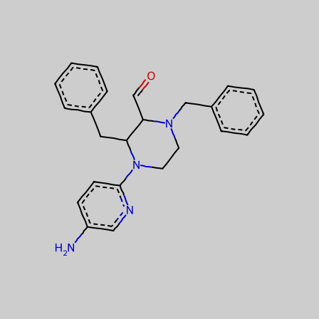 Nc1ccc(N2CCN(Cc3ccccc3)C(C=O)C2Cc2ccccc2)nc1